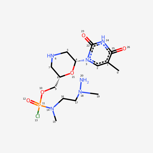 Cc1cn([C@H]2CNC[C@@H](COP(=O)(Cl)N(C)CCN(C)N)O2)c(=O)[nH]c1=O